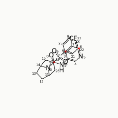 O=C(Nc1cncc(C(F)(F)F)c1)N1C2CCC1CC(S(=O)(=O)c1ccccc1)C2